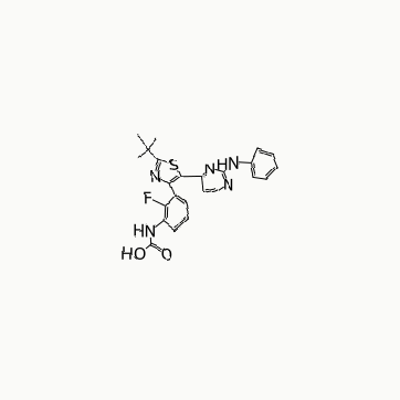 CC(C)(C)c1nc(-c2cccc(NC(=O)O)c2F)c(-c2ccnc(Nc3ccccc3)n2)s1